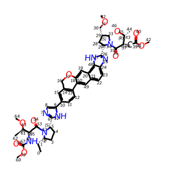 CC[C@H]1CC[C@@H](c2ncc(-c3ccc4c(c3)COc3cc5c(ccc6nc([C@@H]7C[C@H](COC)CN7C(=O)[C@@H](CC(=O)OC)[C@@H](C)OC)[nH]c65)cc3-4)[nH]2)N1C(=O)[C@@H](NC(=O)OC)[C@@H](C)OC